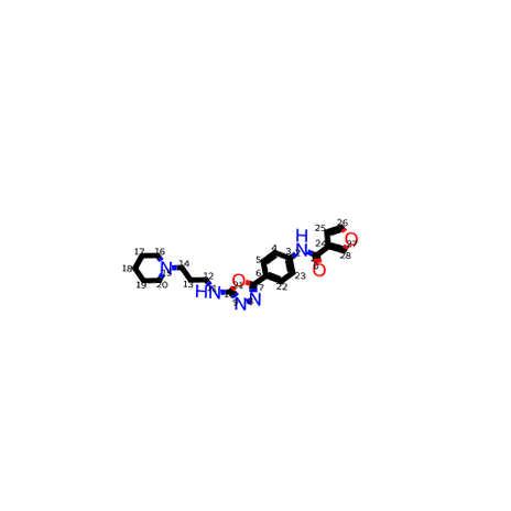 O=C(Nc1ccc(-c2nnc(NCCCN3CCCCC3)o2)cc1)c1ccoc1